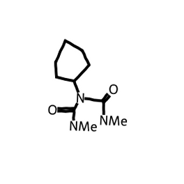 CNC(=O)N(C(=O)NC)C1CCCCC1